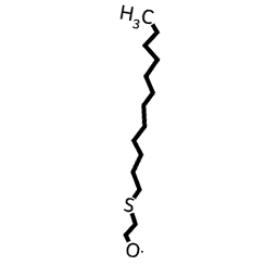 CCCCCCCCCCCCSCC[O]